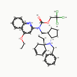 CCOc1cc(N(C[C@H]2CCC[C@@H]2N(Cc2ccccc2)[C@]2(CC)C=CC=CC2)C(=O)OCC(Cl)(Cl)Cl)nc2ccccc12